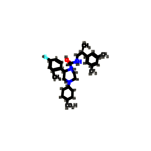 Cc1cc(F)ccc1C1CN(C2CCC(C(=O)O)CC2)CCN1C(=O)NC[C@H](C)c1cc(C(F)(F)F)cc(C(F)(F)F)c1